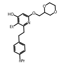 CCCc1ccc(CCc2nc(OCC3COCCO3)cc(O)c2CC)cc1